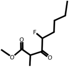 CCCCC(F)C(=O)C(C)C(=O)OC